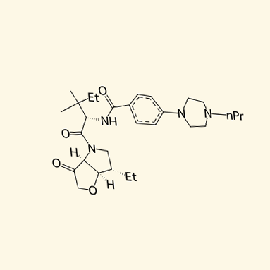 CCCN1CCN(c2ccc(C(=O)N[C@H](C(=O)N3C[C@H](CC)[C@H]4OCC(=O)[C@H]43)C(C)(C)CC)cc2)CC1